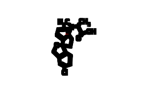 CC(C(=O)O)N(C)CCCC1(c2cccs2)OCc2cc(Cl)ccc21